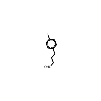 O=CCCCc1ccc(F)cc1